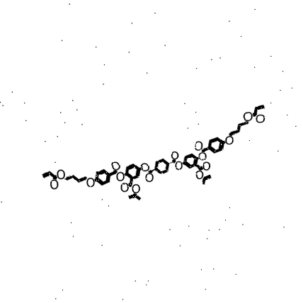 C=CC(=O)OCCCCOc1ccc(C(=O)Oc2ccc(OC(=O)[C@H]3CC[C@H](C(=O)Oc4ccc(OC(=O)c5ccc(OCCCCOC(=O)C=C)cc5)c(C(=O)OC(=C)C)c4)CC3)cc2C(=O)OC(=C)C)cc1